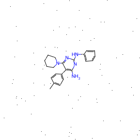 Cc1ccc(-c2c(N)nc(Nc3ccccc3)nc2N2CCCCC2)cc1